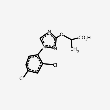 CC(Oc1ncn(-c2ccc(Cl)cc2Cl)n1)C(=O)O